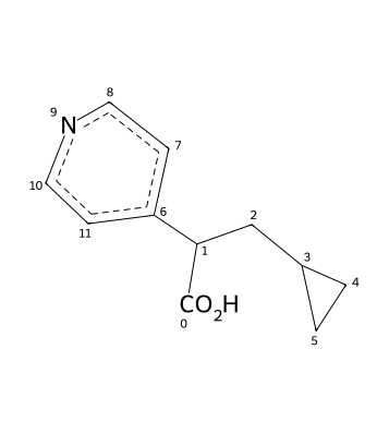 O=C(O)C(CC1CC1)c1ccncc1